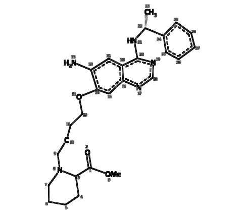 COC(=O)C1CCCCN1CCCCOc1cc2ncnc(N[C@H](C)c3ccccc3)c2cc1N